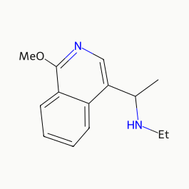 CCNC(C)c1cnc(OC)c2ccccc12